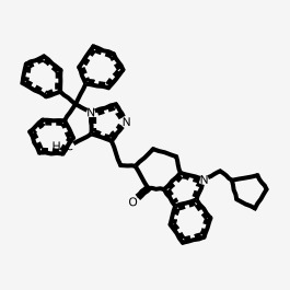 Cc1c(CC2CCc3c(c4ccccc4n3CC3CCCC3)C2=O)ncn1C(c1ccccc1)(c1ccccc1)c1ccccc1